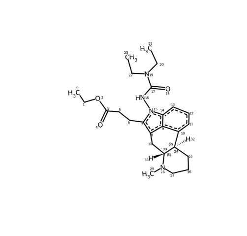 CCOC(=O)CCc1c2c3c(cccc3n1NC(=O)N(CC)CC)[C@H]1CCCN(C)[C@@H]1C2